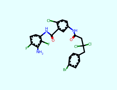 Nc1c(F)ccc(NC(=O)c2cc(NC(=O)CC(Cl)(Cl)Cc3ccc(Br)cc3)ccc2Cl)c1F